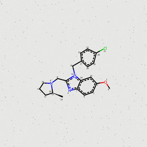 COc1ccc2nc(CN3CCC[C@@H]3C)n(Cc3ccc(Cl)cc3)c2c1